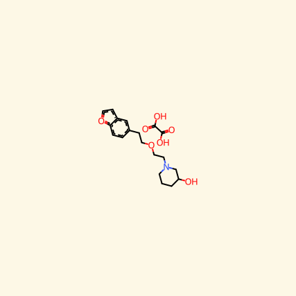 O=C(O)C(=O)O.OC1CCCN(CCOCCc2ccc3occc3c2)C1